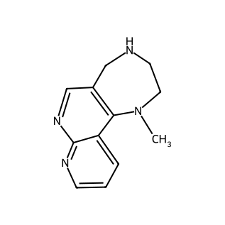 CN1CCNCc2cnc3ncccc3c21